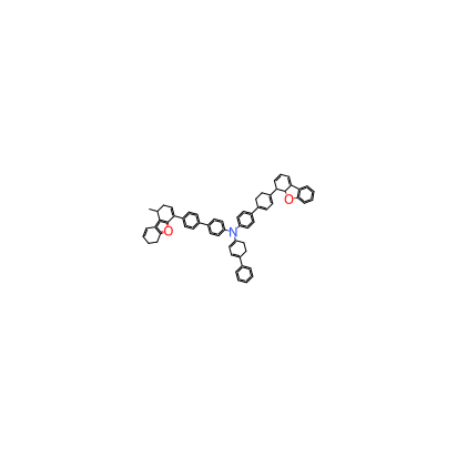 CC1CC=C(c2ccc(-c3ccc(N(C4=CC=C(c5ccccc5)CC4)c4ccc(C5=CC=C(C6C=CC=C7c8ccccc8OC76)CC5)cc4)cc3)cc2)c2oc3c(c21)C=CCC3